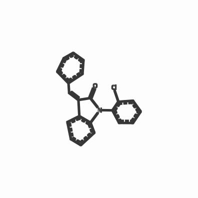 O=C1C(=Cc2ccccc2)c2ccccc2N1c1ccccc1Cl